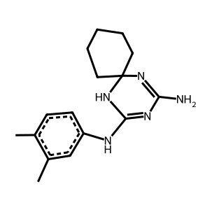 Cc1ccc(NC2=NC(N)=NC3(CCCCC3)N2)cc1C